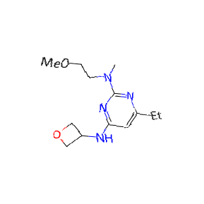 CCc1cc(NC2COC2)nc(N(C)CCOC)n1